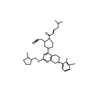 Cc1cccc(N2CCc3c(nc(OCC4CCCN4C)nc3N3CCN(C(=O)/C=C/CN(C)C)C(CC#N)C3)C2)c1C